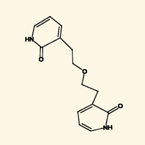 O=c1[nH]cccc1CCOCCc1ccc[nH]c1=O